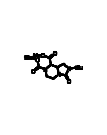 COC(=O)C1C2CN(C(C)(C)C)C(=O)N2CCN1C(=O)OC(C)(C)C